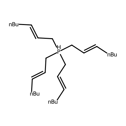 CCCCC=CC[PH](CC=CCCCC)(CC=CCCCC)CC=CCCCC